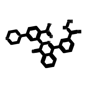 N=C(NO)c1cccc(-c2nn(-c3cc(N4CCOCC4)ccc3[N+](=O)[O-])c(=O)c3ccccc23)c1